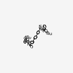 CC(C)(C)OC(=O)N1CCC[C@H]1C1=NC2(COC2)c2ccc(-c3ccc(-c4ccc(-c5cnc([C@@H]6CCCN6C(=O)OC(C)(C)C)[nH]5)cc4)cc3)cc2N1